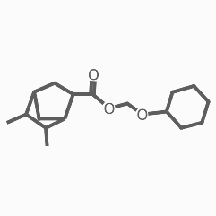 CC1C2CC(C(=O)OCOC3CCCCC3)C(C2)C1C